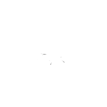 CCSC[C@@H]1CO[C@H](N2C(=O)c3ccccc3C2=O)[C@@H]1O